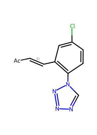 CC(=O)/C=C/c1cc(Cl)ccc1-n1cnnn1